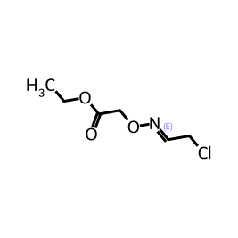 CCOC(=O)CO/N=C/CCl